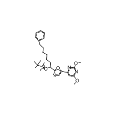 COc1cc(-c2cnc(C(CCCCCCc3ccccc3)O[Si](C)(C)C(C)(C)C)o2)nc(OC)n1